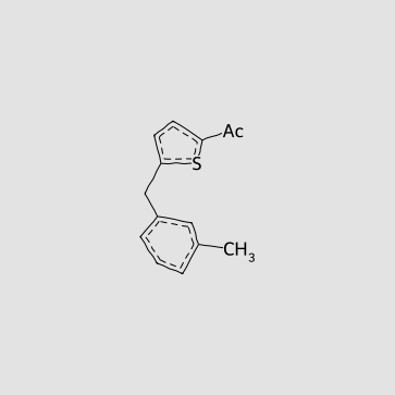 CC(=O)c1ccc(Cc2cccc(C)c2)s1